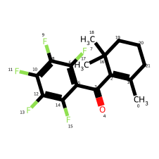 CC1=C(C(=O)c2c(F)c(F)c(F)c(F)c2F)C(C)(C)CCC1